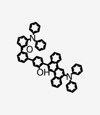 Oc1cc(-c2cccc3c2oc2c(N(c4ccccc4)c4ccccc4)cccc23)ccc1-c1cc2c3ccccc3c(N(c3ccccc3)c3ccccc3)cc2c2ccccc12